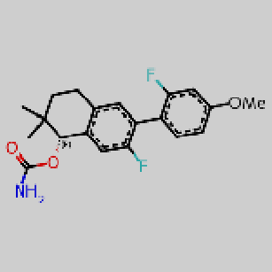 COc1ccc(-c2cc3c(cc2F)[C@H](OC(N)=O)C(C)(C)CC3)c(F)c1